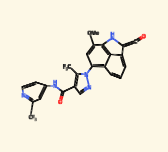 COc1cc(-n2ncc(C(=O)Nc3ccnc(C(F)(F)F)c3)c2C(F)(F)F)c2cccc3c(=C=O)[nH]c1c23